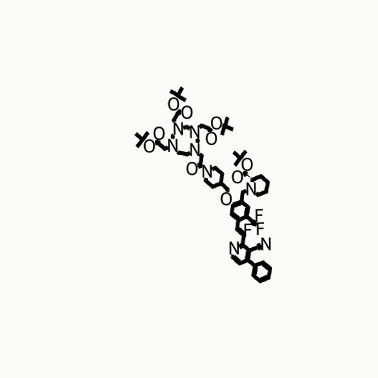 CC(C)(C)OC(=O)CN1CCN(CC(=O)N2CCC(COc3cc(/C=C/c4nccc(-c5ccccc5)c4C#N)c(C(F)(F)F)cc3CN3CCCC[C@H]3C(=O)OC(C)(C)C)CC2)CN(CC(=O)OC(C)(C)C)CN(CC(=O)OC(C)(C)C)C1